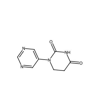 O=C1CCN(c2cncnc2)C(=O)N1